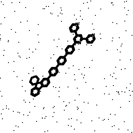 c1cncc(-c2cc(-c3ccc(-c4ccc(-c5ccc(-c6ccc7c(c6)C6(CCCCC6)c6ccccc6-7)cc5)cc4)cc3)nc(-c3cccnc3)c2)c1